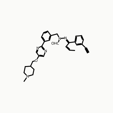 C#Cc1cccc(C(/C=C\C)=N/N(C=O)Cc2cccc(-c3ncc(OCC4CCN(C)CC4)cn3)c2)c1